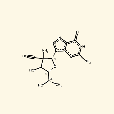 C#CC1(N)C(O)[C@@H]([C@H](C)O)O[C@H]1n1cnc2c(=O)[nH]c(N)nc21